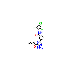 CNC(=O)c1nc(-c2cccc(C(=O)NCc3c(Cl)cc(Cl)cc3Cl)c2)cnc1N